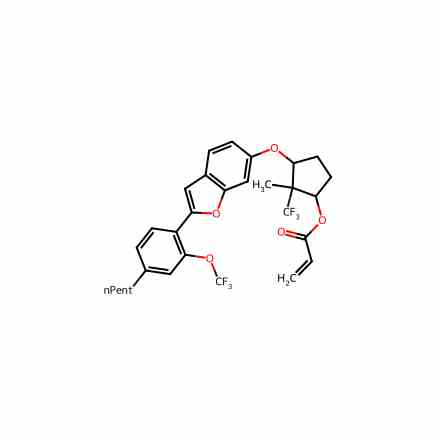 C=CC(=O)OC1CCC(Oc2ccc3cc(-c4ccc(CCCCC)cc4OC(F)(F)F)oc3c2)C1(C)C(F)(F)F